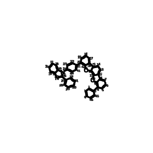 c1ccc(-c2cccc3c2oc2c3ccc3c4cccc(-c5ccc(-n6c(-c7ccccc7)nc7ccccc76)cc5)c4oc32)cc1